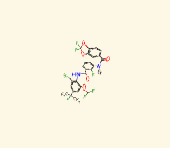 CCN(C(=O)c1ccc2c(c1)OC(F)(F)O2)c1cccc(C(=O)Nc2c(Br)cc(C(F)(C(F)(F)F)C(F)(F)F)cc2OC(F)F)c1F